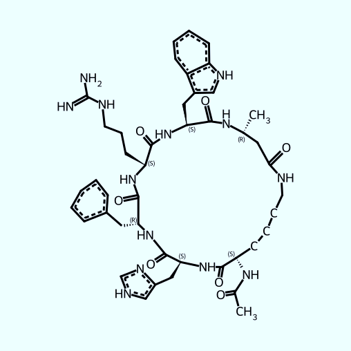 CC(=O)N[C@H]1CCCCNC(=O)C[C@@H](C)NC(=O)[C@H](Cc2c[nH]c3ccccc23)NC(=O)[C@H](CCCNC(=N)N)NC(=O)[C@@H](Cc2ccccc2)NC(=O)[C@H](Cc2c[nH]cn2)NC1=O